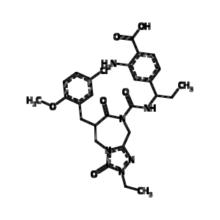 CCC(NC(=O)N1Cc2nn(CC)c(=O)n2CC(Cc2cc(Cl)ccc2OC)C1=O)c1ccc(C(=O)O)c(N)c1